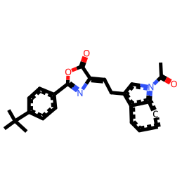 CC(=O)n1cc(C/C=C2\N=C(c3ccc(C(C)(C)C)cc3)OC2=O)c2ccccc21